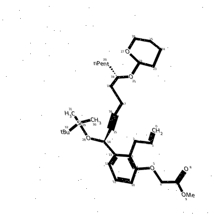 C=CCc1c(OCC(=O)OC)cccc1[C@H](C#CCC[C@H](CCCCC)OC1CCCCO1)O[Si](C)(C)C(C)(C)C